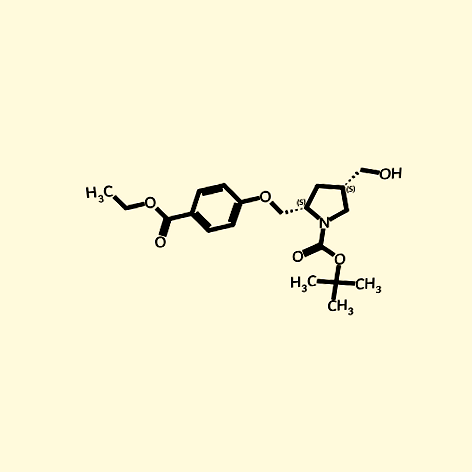 CCOC(=O)c1ccc(OC[C@@H]2C[C@H](CO)CN2C(=O)OC(C)(C)C)cc1